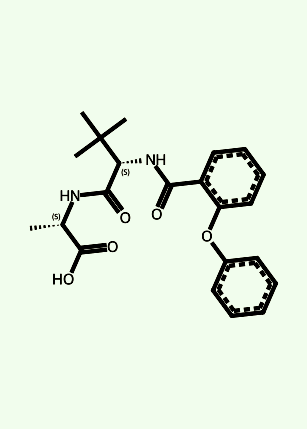 C[C@H](NC(=O)[C@@H](NC(=O)c1ccccc1Oc1ccccc1)C(C)(C)C)C(=O)O